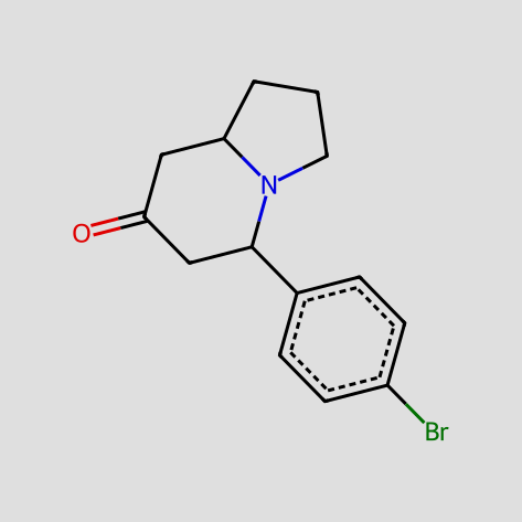 O=C1CC2CCCN2C(c2ccc(Br)cc2)C1